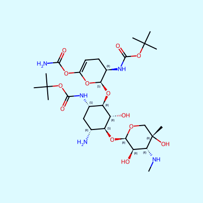 CN[C@@H]1[C@@H](O)[C@@H](O[C@@H]2[C@@H](O)[C@H](O[C@H]3OC(OC(N)=O)=CC[C@H]3NC(=O)OC(C)(C)C)[C@@H](NC(=O)OC(C)(C)C)C[C@H]2N)OC[C@]1(C)O